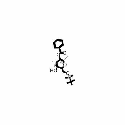 C[C@@H]1OC(CO[Si](C)(C)C(C)(C)C)[C@H](O)[C@H](C)C1OC(=O)c1ccccc1